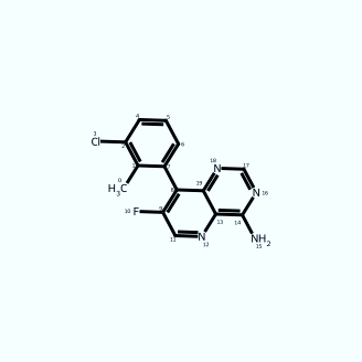 Cc1c(Cl)cccc1-c1c(F)cnc2c(N)ncnc12